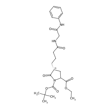 CCOC(=O)C1C[C@@H](CCCC(=O)NCC(=O)Nc2ccccc2)C(=O)N1C(=O)OC(C)(C)C